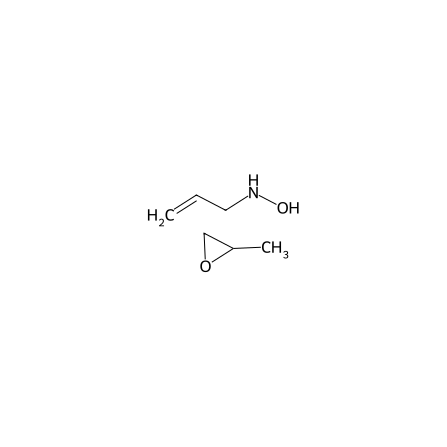 C=CCNO.CC1CO1